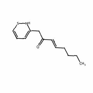 CCCCC=CC(=O)CC1=CC=CSN1